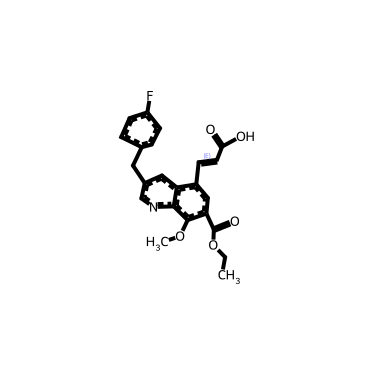 CCOC(=O)c1cc(/C=C/C(=O)O)c2cc(Cc3ccc(F)cc3)cnc2c1OC